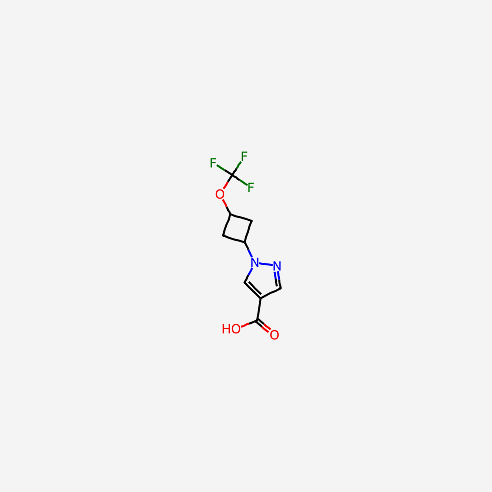 O=C(O)c1cnn(C2CC(OC(F)(F)F)C2)c1